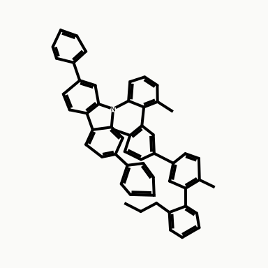 CCCc1ccccc1-c1cc(-c2ccc(C)c(-c3c(C)cccc3-n3c4cc(-c5ccccc5)ccc4c4ccc(-c5ccccc5)cc43)c2)ccc1C